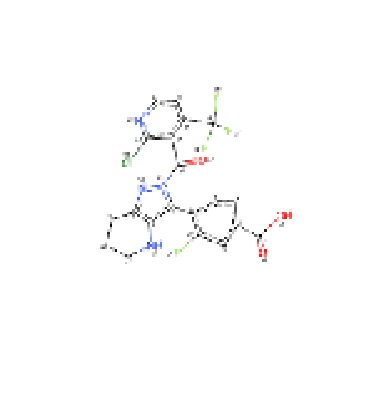 O=C(O)c1ccc(-c2c3c(nn2C(=O)c2c(C(F)(F)F)ccnc2Cl)CCCN3)c(F)c1